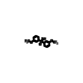 N=S(=O)(c1cccc(OC(F)(F)F)c1)c1cccc(OC(F)(F)F)c1